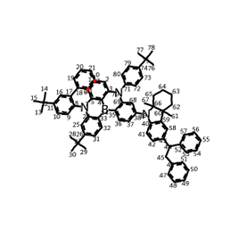 Cc1cc2c3c(c1)N(c1ccc(C(C)(C)C)cc1-c1ccccc1)c1cc(C(C)(C)C)ccc1B3c1ccc(N3c4ccc(C(Cc5ccccc5)c5ccccc5)cc4C4(C)CCCCC34C)cc1N2c1ccc(C(C)(C)C)cc1